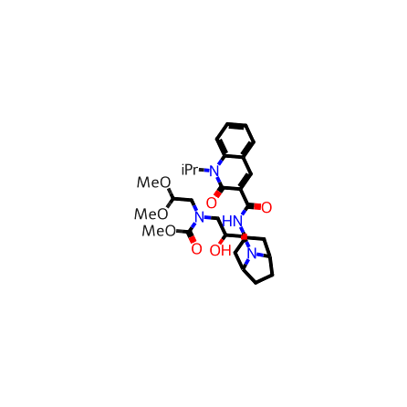 COC(=O)N(CC(O)CN1C2CCC1CC(NC(=O)c1cc3ccccc3n(C(C)C)c1=O)C2)CC(OC)OC